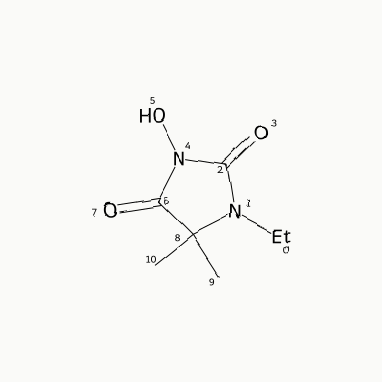 CCN1C(=O)N(O)C(=O)C1(C)C